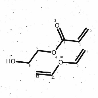 C=CC(=O)OCCO.C=COC=C